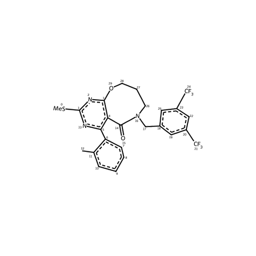 CSc1nc2c(c(-c3ccccc3C)n1)C(=O)N(Cc1cc(C(F)(F)F)cc(C(F)(F)F)c1)CCCO2